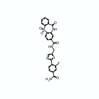 NC(=O)c1ccc(-c2ncc(CNC(=O)c3ccc4c(c3)NC(=O)c3ccccc3S4(=O)=O)s2)c(F)c1